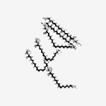 CC/C=C\C/C=C\C/C=C\CCCCCCCC(=O)OCC.CCCCC/C=C\C/C=C\CCCCCCCC(=O)OCC.CCCCCC/C=C\CCCCCCCC(=O)OCC.CCCCCCCC/C=C\CCCCCCCC(=O)OCC.CCCCCCCCCCCCCCCC(=O)OCC.CCCCCCCCCCCCCCCCCC(=O)OCC